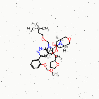 COCOc1ccccc1-c1cc2c(CC3CCCO3)c(C3C[C@H]4COC[C@@H](C3)N4C(=O)OC(C)(C)C)n(COCC[Si](C)(C)C)c2nn1